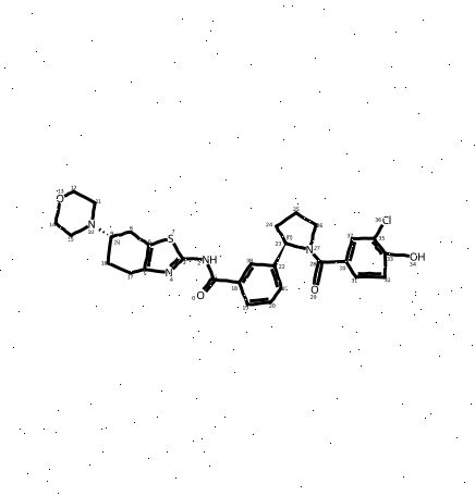 O=C(Nc1nc2c(s1)C[C@@H](N1CCOCC1)CC2)c1cccc([C@H]2CCCN2C(=O)c2ccc(O)c(Cl)c2)c1